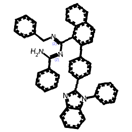 N/C(=N\C(=N/Cc1ccccc1)c1c(-c2ccc(-c3nc4ccccc4n3-c3ccccc3)cc2)ccc2ccccc12)c1ccccc1